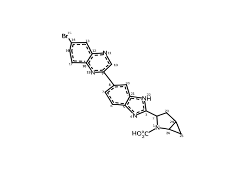 O=C(O)N1C(c2nc3ccc(-c4cnc5cc(Br)ccc5n4)cc3[nH]2)CC2CC21